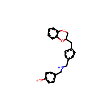 Oc1ccc(CNCc2ccc(CC3COc4ccccc4O3)cc2)cc1